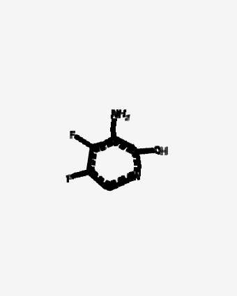 Nc1c(O)ncc(F)c1F